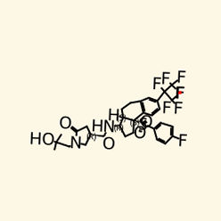 CC(C)(O)CN1C[C@H](C(=O)N[C@@H]2CC[C@@]3(S(=O)(=O)c4ccc(F)cc4)c4ccc(C(F)(C(F)(F)F)C(F)(F)F)cc4CC[C@@H]23)CC1=O